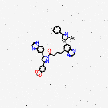 CC(=O)C1N=C(c2ccccc2)C[C@H]1c1cc(CCCC(=O)N2N=C(c3ccc4c(c3)OCO4)C[C@H]2c2ccc3nccnc3c2)c2nccnc2c1